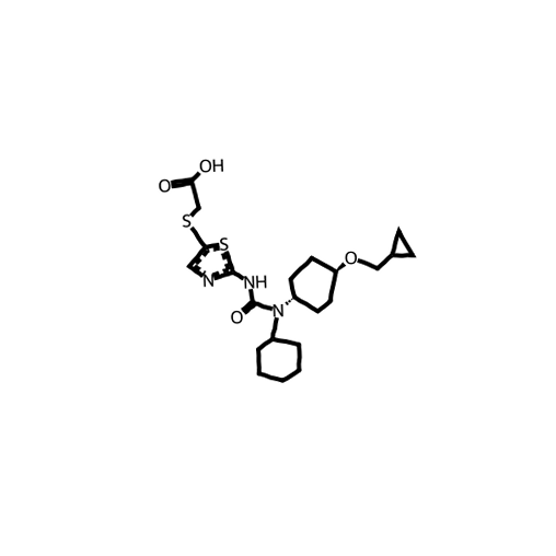 O=C(O)CSc1cnc(NC(=O)N(C2CCCCC2)[C@H]2CC[C@H](OCC3CC3)CC2)s1